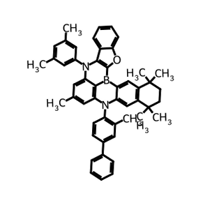 Cc1cc(C)cc(N2c3cc(C)cc4c3B(c3cc5c(cc3N4c3ccc(-c4ccccc4)cc3C)C(C)(C)CCC5(C)C)c3oc4ccccc4c32)c1